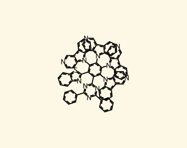 c1ccc(-c2nc(-c3ccccc3)nc(-c3c(-c4nc5ccccc5s4)c(-n4c5ccccc5c5cnccc54)c(-n4c5ccccc5c5cnccc54)c(-n4c5ccccc5c5cnccc54)c3-n3c4ccccc4c4cnccc43)n2)cc1